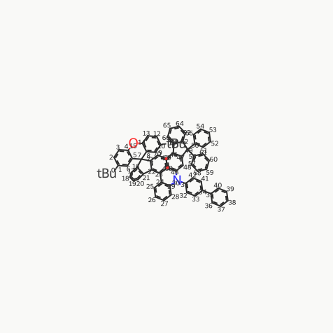 CC(C)(C)c1ccc2c(c1)C1(c3cc(C(C)(C)C)ccc3O2)c2ccccc2-c2c(-c3ccccc3N(c3ccc(-c4ccccc4)cc3)c3ccc4c(c3)C(c3ccccc3)(c3ccccc3)c3ccccc3-4)cccc21